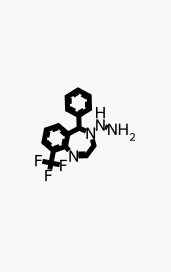 NNN1CC=Nc2c(cccc2C(F)(F)F)C1c1ccccc1